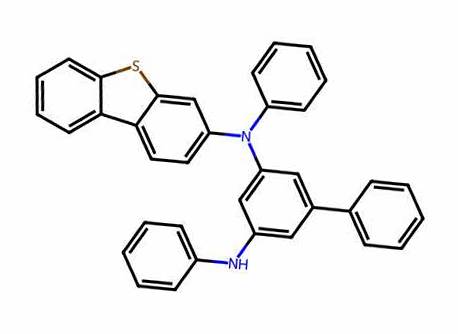 c1ccc(Nc2cc(-c3ccccc3)cc(N(c3ccccc3)c3ccc4c(c3)sc3ccccc34)c2)cc1